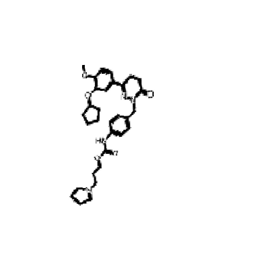 COc1ccc(C2=NN(Cc3ccc(NC(=O)OCCCN4CCCC4)cc3)C(=O)CC2)cc1OC1CCCC1